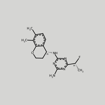 Cc1ccc2c(c1C)OCC[C@H]2Nc1nc(N)nc([C@@H](C)F)n1